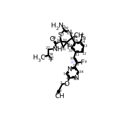 C#CCOc1cnc(/C(F)=C/c2ccc(F)c([C@@]3(C)N=C(N)S[C@@]4(C(=O)NCC(C)F)C[C@H]43)c2)cn1